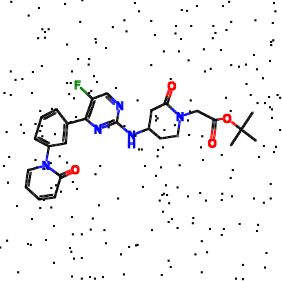 CC(C)(C)OC(=O)CN1CCC(Nc2ncc(F)c(-c3cccc(-n4ccccc4=O)c3)n2)CC1=O